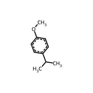 COc1ccc(C(C)C)cc1